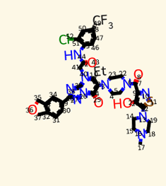 CCc1c(N2CCN(C(=O)c3nsc(N4CCN(C)CC4)c3O)CC2)c(=O)n2nc(-c3ccc4c(c3)COC4)nc2n1CC(=O)Nc1ccc(C(F)(F)F)cc1Cl